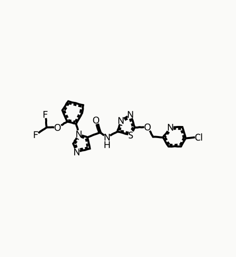 O=C(Nc1nnc(OCc2ccc(Cl)cn2)s1)c1cncn1-c1ccccc1OC(F)F